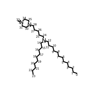 CCCCCCCCCCCCCN(CCCCCCCCCC)CCCCCN1CCN(C)CC1